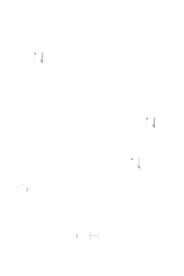 O=C(O)c1n[nH]c2ccncc12